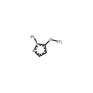 CC(C)n1n[c]cc1OC(F)(F)F